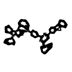 c1ccc(-c2cc(-c3ccc4c(c3)oc3ccccc34)nc(-c3ccc(-n4c5ccccc5c5c6c7ccccc7n(-c7ccccc7)c6ccc54)cc3)n2)cc1